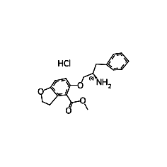 COC(=O)c1c(OC[C@H](N)Cc2ccccc2)ccc2c1CCO2.Cl